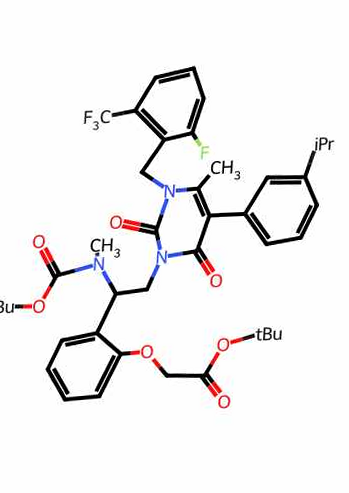 Cc1c(-c2cccc(C(C)C)c2)c(=O)n(CC(c2ccccc2OCC(=O)OC(C)(C)C)N(C)C(=O)OC(C)(C)C)c(=O)n1Cc1c(F)cccc1C(F)(F)F